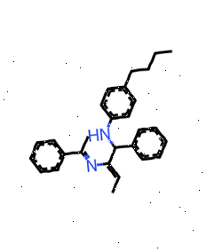 C/C=C(\N=C(/C)c1ccccc1)C(Nc1ccc(CCCC)cc1)c1ccccc1